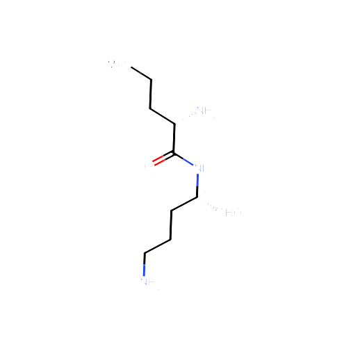 CSCC[C@H](N)C(=O)N[C@H]([C]=O)CCCN